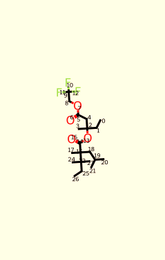 CCC(C)(CC(=O)OCC(F)(F)F)OC(=O)C(C)(CC(C)C)C(C)(C)CC